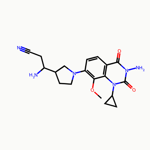 COc1c(N2CCC(C(N)CC#N)C2)ccc2c(=O)n(N)c(=O)n(C3CC3)c12